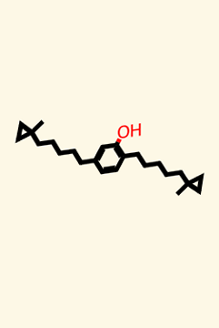 CC1(CCCCCc2ccc(CCCCCC3(C)CC3)c(O)c2)CC1